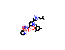 Cc1cc(C)c(Oc2nc(-c3cnn(CCC(C)C)c3)ccc2C(=O)NS(=O)(=O)c2ccccn2)c(C)c1